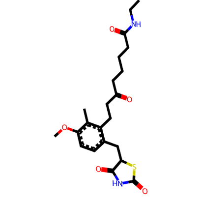 CCNC(=O)CCCCC(=O)CCc1c(CC2SC(=O)NC2=O)ccc(OC)c1C